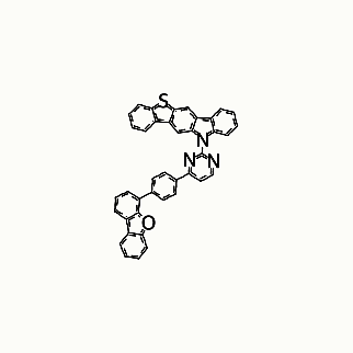 c1ccc2c(c1)oc1c(-c3ccc(-c4ccnc(-n5c6ccccc6c6cc7sc8ccccc8c7cc65)n4)cc3)cccc12